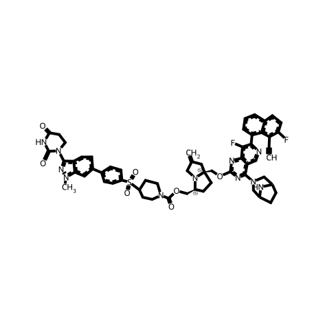 C#Cc1c(F)ccc2cccc(-c3ncc4c(N5CC6CCC(C5)N6)nc(OC[C@@]56CC[C@@H](COC(=O)N7CCC(S(=O)(=O)c8ccc(-c9ccc%10c(N%11CCC(=O)NC%11=O)nn(C)c%10c9)cc8)CC7)N5CC(=C)C6)nc4c3F)c12